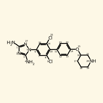 Nc1nc(N)n(-c2cc(Cl)c(-c3ccc(OC4CCCNC4)cc3)c(Cl)c2)n1